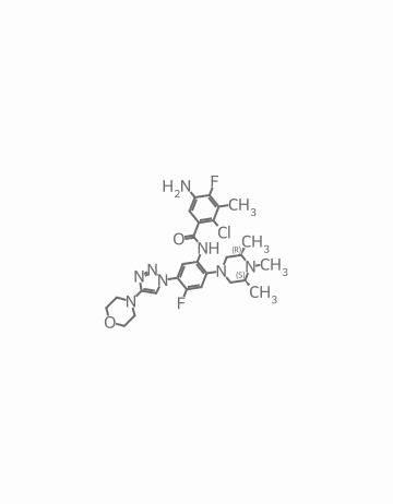 Cc1c(F)c(N)cc(C(=O)Nc2cc(-n3cc(N4CCOCC4)nn3)c(F)cc2N2C[C@@H](C)N(C)[C@@H](C)C2)c1Cl